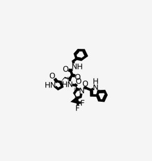 O=C(NCc1ccccc1)C(=O)[C@H](C[C@@H]1CCNC1=O)NC(=O)[C@@H]1C[C@]2(CN1C(=O)c1cc3ccccc3[nH]1)CC2(F)F